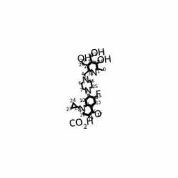 Cc1nc(CN2CCN(c3cc4c(cc3F)c(=O)c(C(=O)O)cn4C3CC3)CC2)c(CO)c(CO)c1O